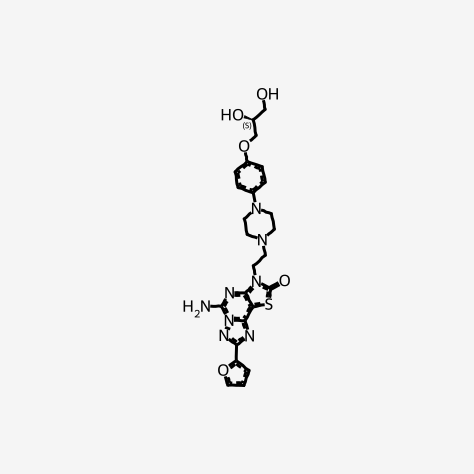 Nc1nc2c(sc(=O)n2CCN2CCN(c3ccc(OC[C@@H](O)CO)cc3)CC2)c2nc(-c3ccco3)nn12